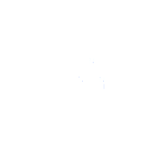 C=CCNC1N=CC=CN1